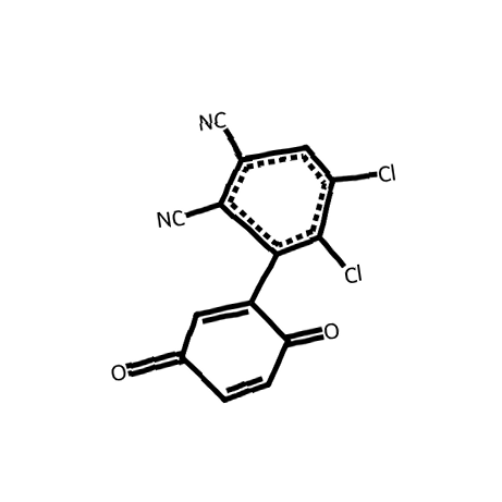 N#Cc1cc(Cl)c(Cl)c(C2=CC(=O)C=CC2=O)c1C#N